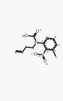 C=CCCN(C(=O)O)c1cccc(C)c1[N+](=O)[O-]